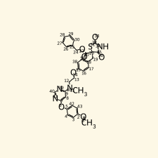 COc1ccc(Oc2cc(N(C)CCOc3ccc(C[C@@]4(C(=O)OCc5ccccc5)SC(=O)NC4=O)cc3)ncn2)cc1